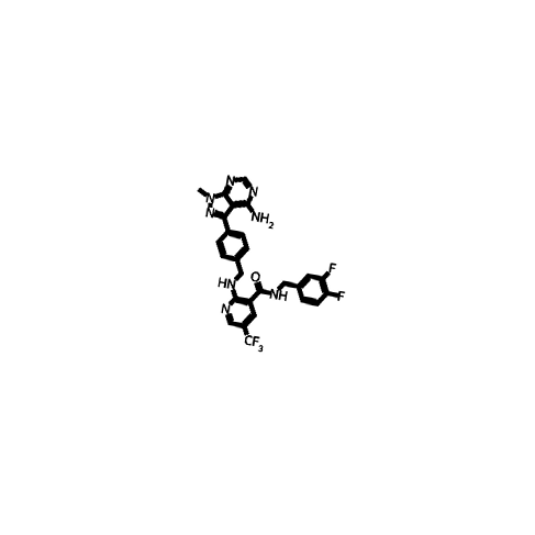 Cn1nc(-c2ccc(CNc3ncc(C(F)(F)F)cc3C(=O)NCc3ccc(F)c(F)c3)cc2)c2c(N)ncnc21